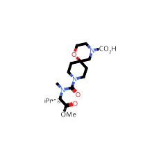 COC(=O)[C@H](C(C)C)N(C)C(=O)N1CCC2(CC1)CN(C(=O)O)CCO2